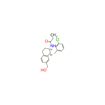 CCC(=O)N[C@H]1CCc2ccc(CO)cc2[C@H]1Cc1cccc(Cl)c1